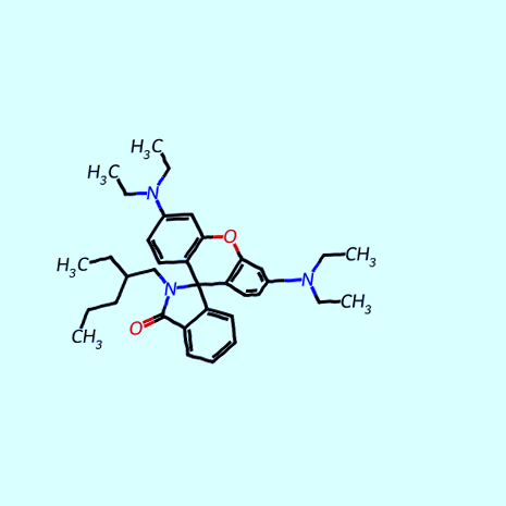 CCCC(CC)CN1C(=O)c2ccccc2C12c1ccc(N(CC)CC)cc1Oc1cc(N(CC)CC)ccc12